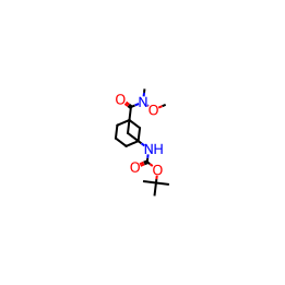 CON(C)C(=O)C12CCCC(NC(=O)OC(C)(C)C)(C1)C2